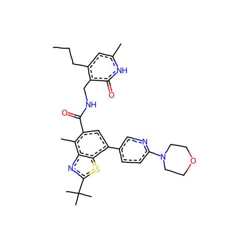 CCCc1cc(C)[nH]c(=O)c1CNC(=O)c1cc(-c2ccc(N3CCOCC3)nc2)c2sc(C(C)(C)C)nc2c1C